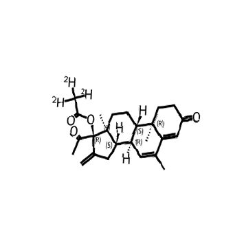 [2H]C([2H])([2H])C(=O)O[C@]1(C(C)=O)C(=C)C[C@H]2[C@@H]3C=C(C)C4=CC(=O)CC[C@]4(C)[C@H]3CC[C@@]21C